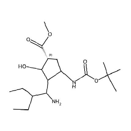 CCC(CC)C(N)C1C(NC(=O)OC(C)(C)C)C[C@@H](C(=O)OC)C1O